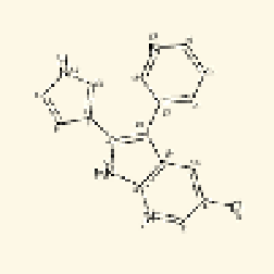 Clc1cnc2[nH]c(-c3cc[nH]c3)c(-c3cccnc3)c2c1